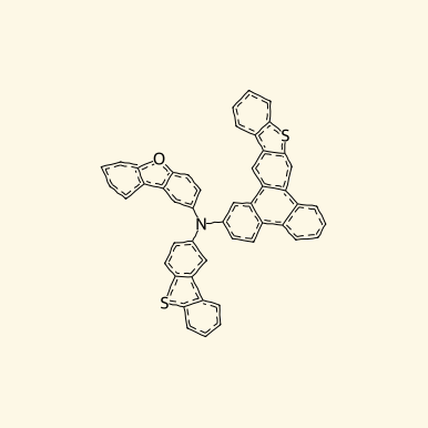 c1ccc2c(c1)oc1ccc(N(c3ccc4sc5ccccc5c4c3)c3ccc4c5ccccc5c5cc6sc7ccccc7c6cc5c4c3)cc12